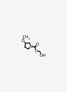 COC1CCN(C(=O)OCO)C1